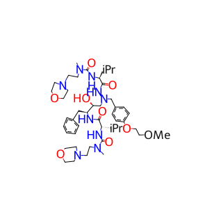 COCCOc1ccc(CN(C[C@H](O)[C@H](Cc2ccccc2)NC(=O)[C@@H](NC(=O)N(C)CCN2CCOCC2)C(C)C)NC(=O)[C@@H](NC(=O)N(C)CCN2CCOCC2)C(C)C)cc1